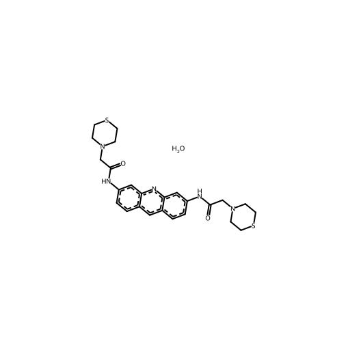 O.O=C(CN1CCSCC1)Nc1ccc2cc3ccc(NC(=O)CN4CCSCC4)cc3nc2c1